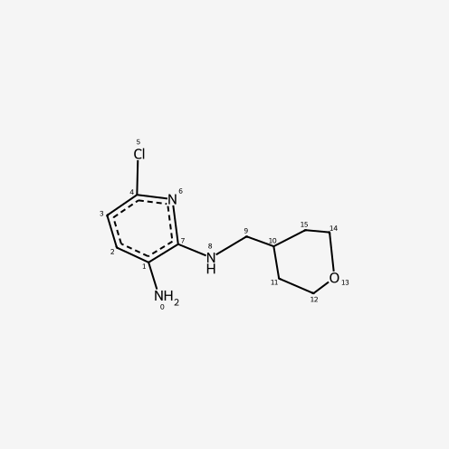 Nc1ccc(Cl)nc1NCC1CCOCC1